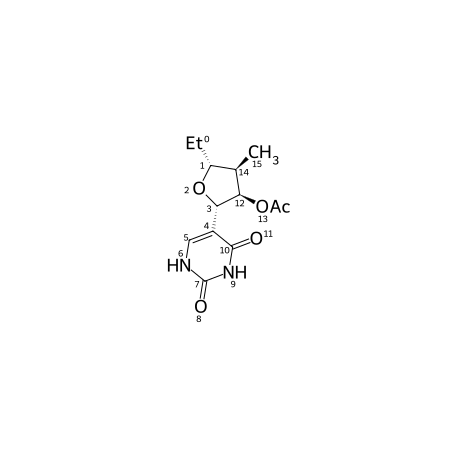 CC[C@H]1O[C@@H](c2c[nH]c(=O)[nH]c2=O)[C@H](OC(C)=O)[C@@H]1C